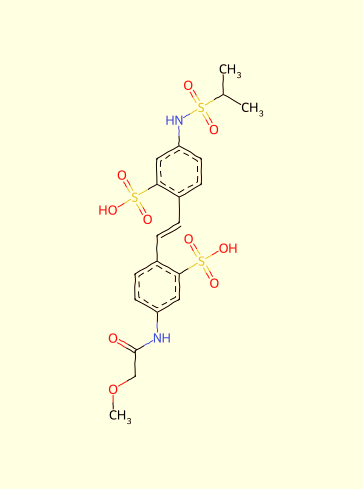 COCC(=O)Nc1ccc(/C=C/c2ccc(NS(=O)(=O)C(C)C)cc2S(=O)(=O)O)c(S(=O)(=O)O)c1